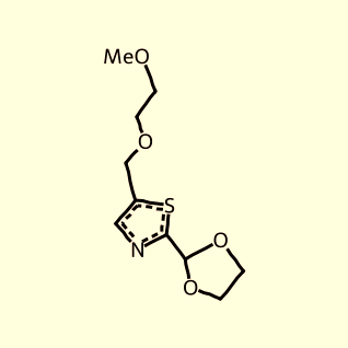 COCCOCc1cnc(C2OCCO2)s1